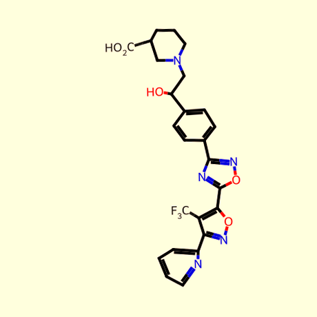 O=C(O)C1CCCN(CC(O)c2ccc(-c3noc(-c4onc(-c5ccccn5)c4C(F)(F)F)n3)cc2)C1